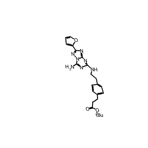 CC(C)(C)OC(=O)CCc1ccc(CCNc2nc(N)n3nc(-c4ccco4)nc3n2)cc1